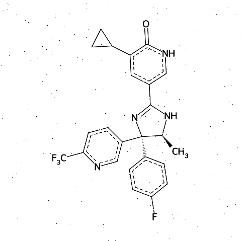 C[C@@H]1NC(c2c[nH]c(=O)c(C3CC3)c2)=N[C@]1(c1ccc(F)cc1)c1ccc(C(F)(F)F)nc1